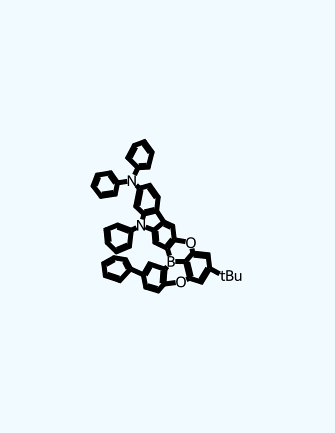 CC(C)(C)c1cc2c3c(c1)Oc1cc4c5ccc(N(c6ccccc6)c6ccccc6)cc5n(-c5ccccc5)c4cc1B3c1cc(-c3ccccc3)ccc1O2